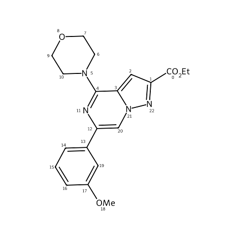 CCOC(=O)c1cc2c(N3CCOCC3)nc(-c3cccc(OC)c3)cn2n1